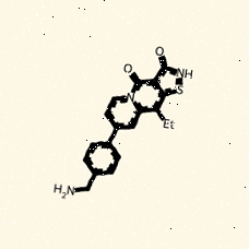 CCc1c2s[nH]c(=O)c2c(=O)n2ccc(-c3ccc(CN)cc3)cc12